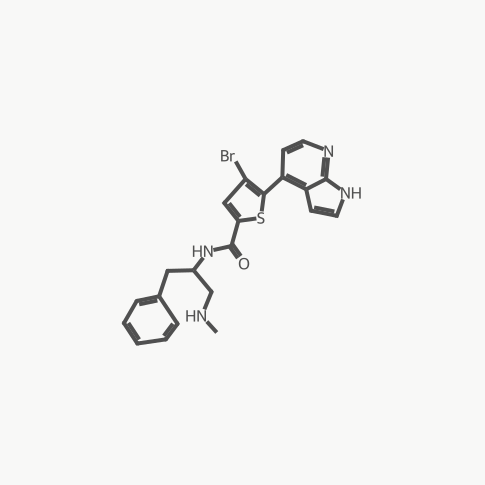 CNCC(Cc1ccccc1)NC(=O)c1cc(Br)c(-c2ccnc3[nH]ccc23)s1